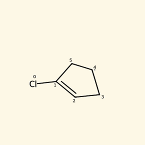 ClC1=CC[CH]C1